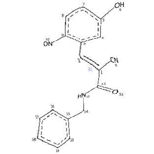 N#C/C(=C\c1cc(O)ccc1N=O)C(=O)NCc1ccccc1